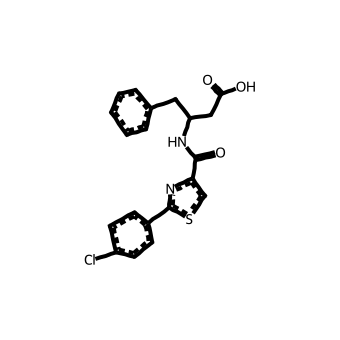 O=C(O)CC(Cc1ccccc1)NC(=O)c1csc(-c2ccc(Cl)cc2)n1